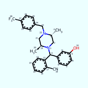 C[C@@H]1CN(C(c2cccc(O)c2)c2ccccc2C#N)[C@@H](C)CN1Cc1ccc(C(F)(F)F)cc1